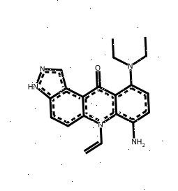 C=Cn1c2ccc3[nH]ncc3c2c(=O)c2c(N(CC)CC)ccc(N)c21